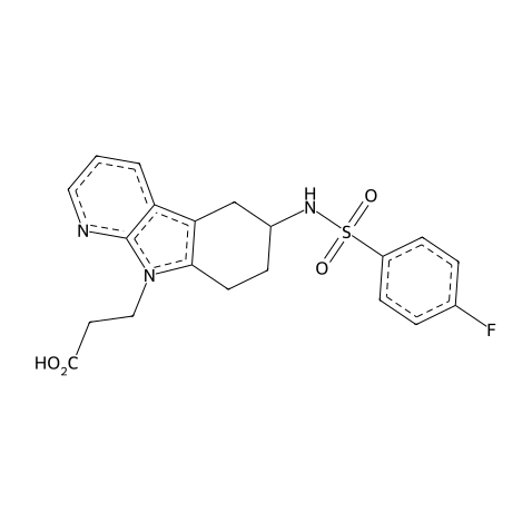 O=C(O)CCn1c2c(c3cccnc31)CC(NS(=O)(=O)c1ccc(F)cc1)CC2